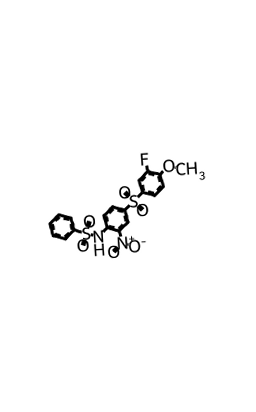 COc1ccc(S(=O)(=O)c2ccc(NS(=O)(=O)c3ccccc3)c([N+](=O)[O-])c2)cc1F